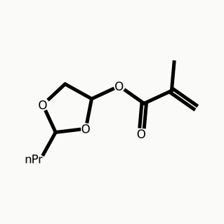 C=C(C)C(=O)OC1COC(CCC)O1